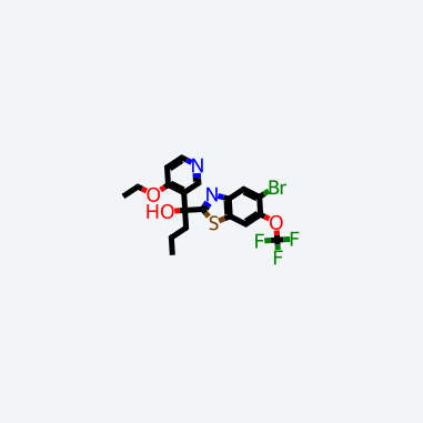 CCCC(O)(c1nc2cc(Br)c(OC(F)(F)F)cc2s1)c1cnccc1OCC